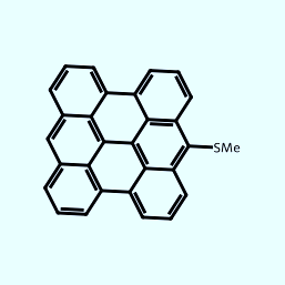 CSc1c2cccc3c4cccc5cc6cccc7c8cccc1c8c(c23)c(c54)c67